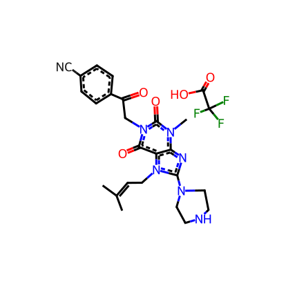 CC(C)=CCn1c(N2CCNCC2)nc2c1c(=O)n(CC(=O)c1ccc(C#N)cc1)c(=O)n2C.O=C(O)C(F)(F)F